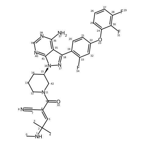 CNC(C)(C)C=C(C#N)C(=O)N1CCC[C@@H](n2nc(-c3ccc(Oc4cccc(F)c4F)cc3F)c3c(N)ncnc32)C1